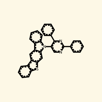 c1ccc(-c2ncc(-n3c4ccccc4c4cc5c(cc43)sc3ccccc35)c(-c3ccccc3)n2)cc1